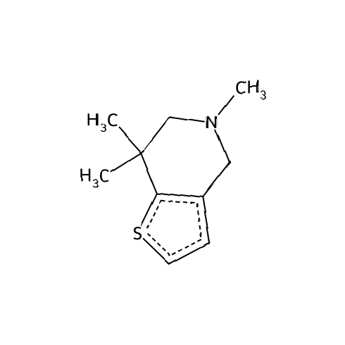 CN1Cc2ccsc2C(C)(C)C1